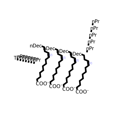 CCCC.CCCC.CCCC.CCCC.CCCC.CCCC.CCCC.CCCC.CCCC.CCCC.CCCC.CCCC.CCCCCCCCCCCC/C=C\CCCCCCCC(=O)[O-].CCCCCCCCCCCC/C=C\CCCCCCCC(=O)[O-].CCCCCCCCCCCC/C=C\CCCCCCCC(=O)[O-].CCCCCCCCCCCC/C=C\CCCCCCCC(=O)[O-].[Ti+4]